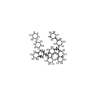 c1ccc(-c2ccc(-c3nc(-n4c5ccccc5c5c6c7c8ccccc8ccc7n(-c7cccc(-c8ccccc8)c7)c6ccc54)nc4ccccc34)cc2)cc1